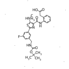 CNc1sc(-c2cc(F)cc(CNC(=O)OC(C)(C)C)c2)nc1C(=O)Nc1ccccc1CC(=O)O